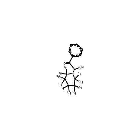 [2H]C1([2H])N(C(C#N)C(=O)c2ccccc2)C([2H])([2H])C([2H])([2H])C([2H])([2H])C1([2H])[2H]